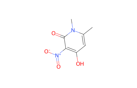 Cc1cc(O)c([N+](=O)[O-])c(=O)n1C